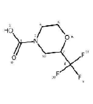 O=C(O)N1CCOC(C(F)(F)F)C1